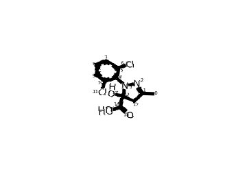 CC1=NN(c2c(Cl)cccc2Cl)C(O)(C(=O)O)C1